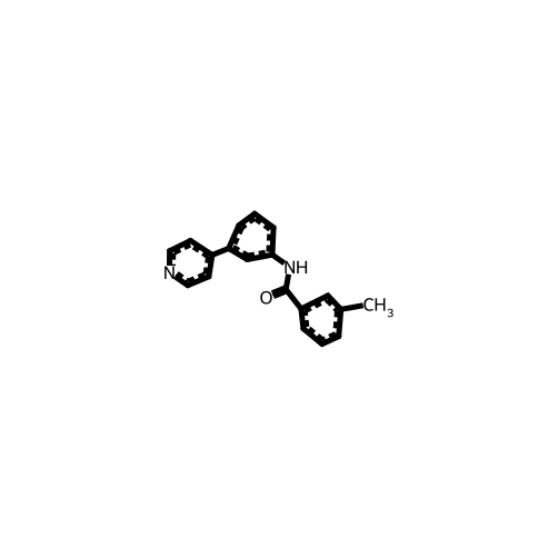 Cc1cccc(C(=O)Nc2cccc(-c3ccncc3)c2)c1